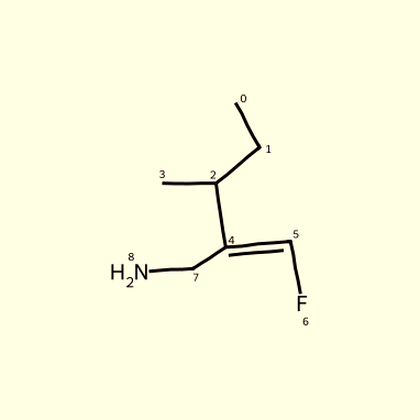 CCC(C)/C(=C/F)CN